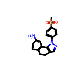 CS(=O)(=O)c1ccc(-n2ncc3c2-c2cc(N)ccc2CC3)cc1